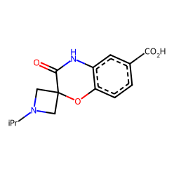 CC(C)N1CC2(C1)Oc1ccc(C(=O)O)cc1NC2=O